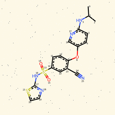 CC(C)Nc1ccc(Oc2ccc(S(=O)(=O)Nc3nccs3)cc2C#N)cn1